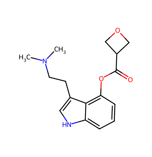 CN(C)CCc1c[nH]c2cccc(OC(=O)C3COC3)c12